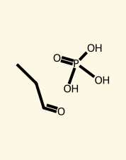 CCC=O.O=P(O)(O)O